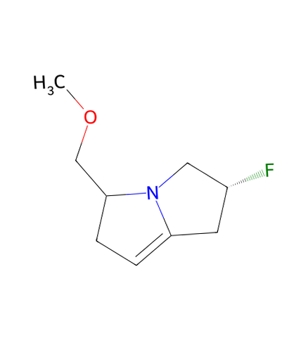 COCC1CC=C2C[C@@H](F)CN21